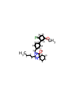 CCCCC1=NC2(CCCCC2)C(=O)N1Cc1ccc(-c2cc(OC)ccc2F)cc1